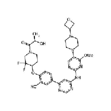 COc1nc(Nc2cc(-c3ccc(O[C@@H]4CCN(C(=O)[C@@H](C)O)CC4(F)F)c(C#N)c3)ncn2)ccc1N1CCN(C2COC2)CC1